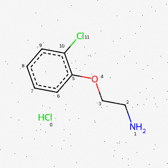 Cl.NCCOc1ccccc1Cl